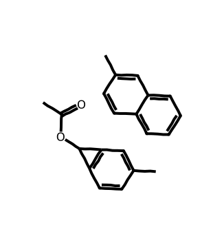 CC(=O)OC1c2ccc(C)cc21.Cc1ccc2ccccc2c1